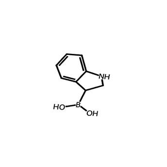 OB(O)C1CNc2ccccc21